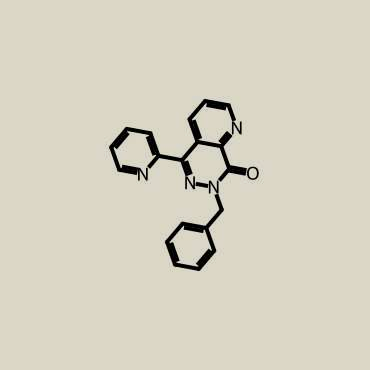 O=c1c2ncccc2c(-c2ccccn2)nn1Cc1ccccc1